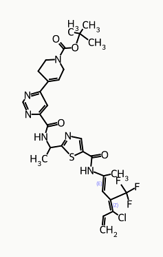 C=C/C(Cl)=C(\C=C(/C)NC(=O)c1cnc(C(C)NC(=O)c2cc(C3=CCN(C(=O)OC(C)(C)C)CC3)ncn2)s1)C(F)(F)F